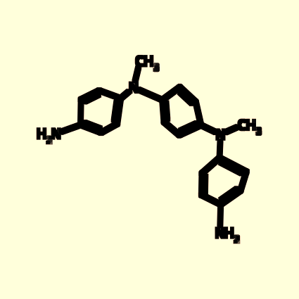 CN(c1ccc(N)cc1)c1ccc(N(C)c2ccc(N)cc2)cc1